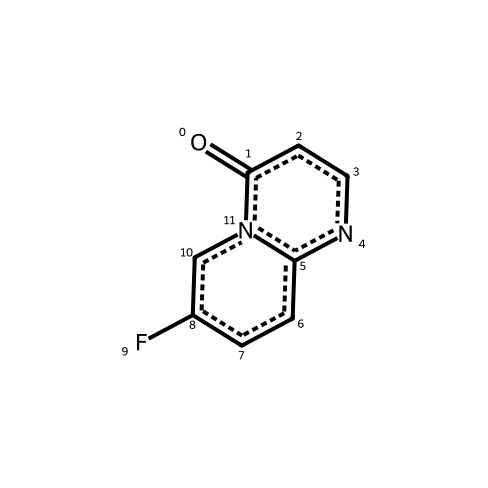 O=c1ccnc2ccc(F)cn12